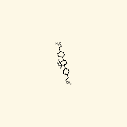 CCCc1ccc(C2=CC=C(C3CCC(CCC)OC3)C(F)(F)C2(F)F)cc1